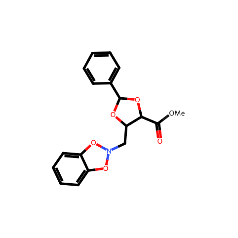 COC(=O)C1OC(c2ccccc2)OC1CN1Oc2ccccc2O1